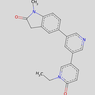 CCn1cc(-c2cncc(-c3ccc4c(c3)CC(=O)N4C)c2)ccc1=O